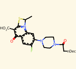 CCCCCCCCCCCC(=O)N1CCN(c2cc3c(cc2F)c(=O)c(C(=O)O)c2n3C(C)S2)CC1